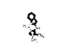 Cc1c(Nc2cc3ccccc3n2C)ncn1C